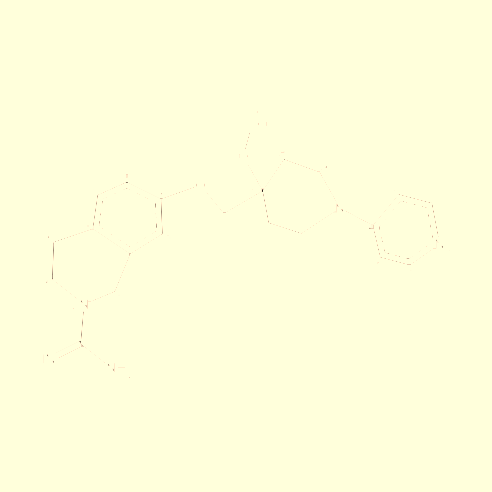 N=C(N)N1CCc2ccc(OCC3(OC(=O)O)CCN(c4ccncc4)CC3)cc2C1